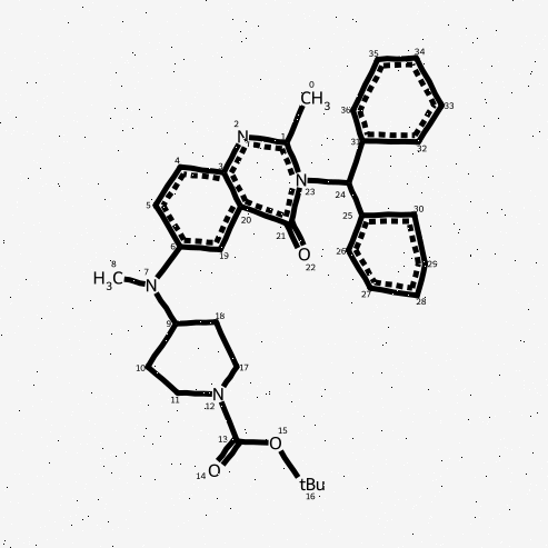 Cc1nc2ccc(N(C)C3CCN(C(=O)OC(C)(C)C)CC3)cc2c(=O)n1C(c1ccccc1)c1ccccc1